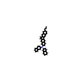 C/C=C/c1ccc2cc3c(cc2c1)C(C)(C)c1cc2cc(N(c4ccc5ccccc5c4)c4ccc5ccccc5c4)ccc2cc1-3